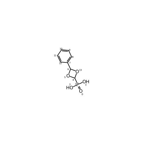 O=P(O)(O)C1OC(c2ccccc2)O1